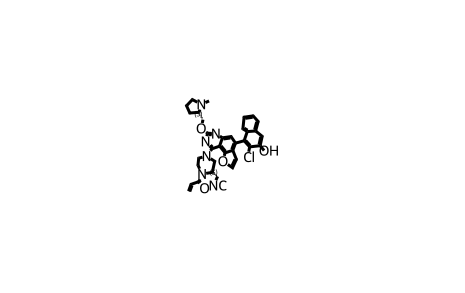 C=CC(=O)N1CCN(c2nc(OC[C@@H]3CCCN3C)nc3cc(-c4c(Cl)c(O)cc5ccccc45)c4ccoc4c23)C[C@@H]1CC#N